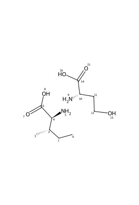 CC[C@H](C)[C@H](N)C(=O)O.N[C@@H](CCO)C(=O)O